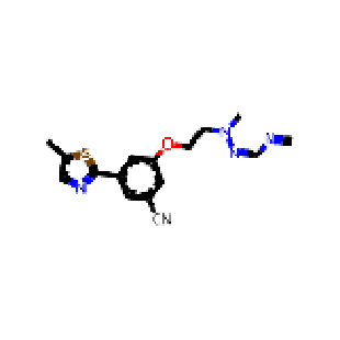 C=N/C=N\N(C)CCOc1cc(C#N)cc(-c2ncc(C)s2)c1